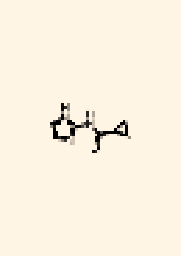 O=C(Nc1ncc[nH]1)C1CC1